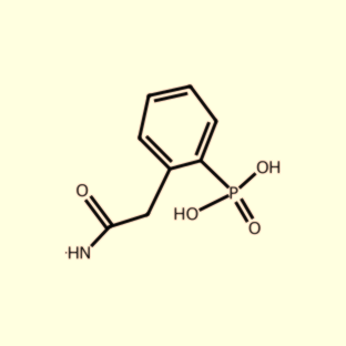 [NH]C(=O)Cc1ccccc1P(=O)(O)O